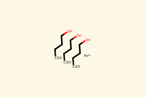 O=C([O-])CCCO.O=C([O-])CCCO.O=C([O-])CCCO.[Fe+3]